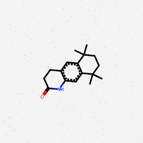 CC1(C)CCC(C)(C)c2cc3c(cc21)CCC(=O)N3